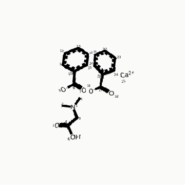 CN(C)CC(=O)O.O=C([O-])c1ccccc1.O=C([O-])c1ccccc1.[Ca+2]